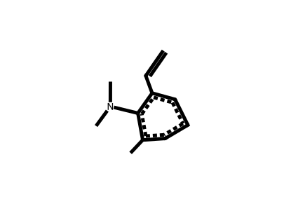 C=Cc1cccc(C)c1N(C)C